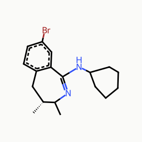 CC1N=C(NC2CCCCC2)c2cc(Br)ccc2C[C@H]1C